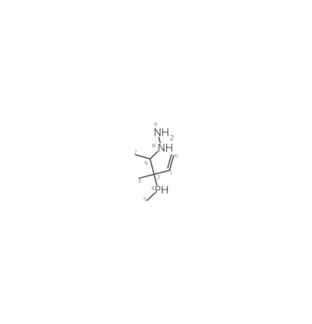 C=CC(C)(PC)C(C)NN